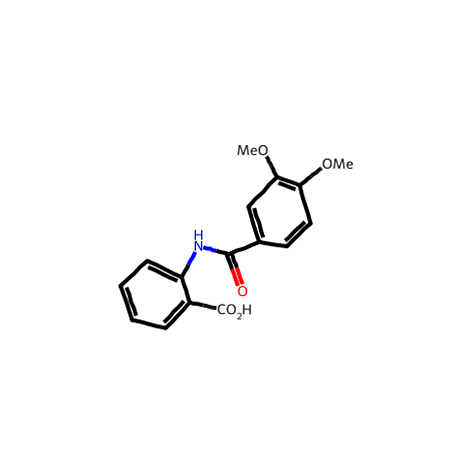 COc1ccc(C(=O)Nc2ccccc2C(=O)O)cc1OC